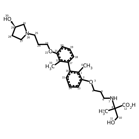 Cc1c(OCCCNC(C)(CO)C(=O)O)cccc1-c1cccc(OCCCN2CC[C@@H](O)C2)c1C